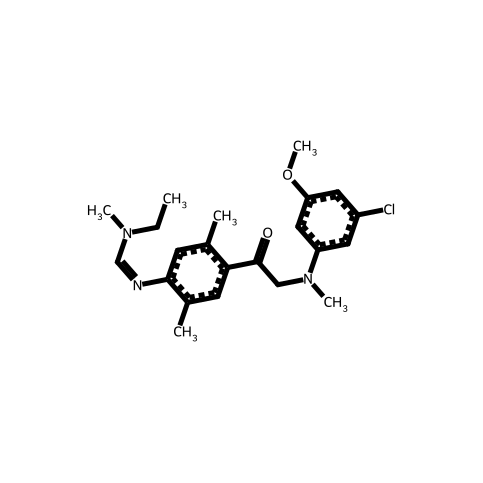 CCN(C)/C=N\c1cc(C)c(C(=O)CN(C)c2cc(Cl)cc(OC)c2)cc1C